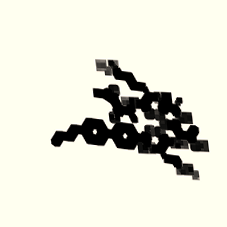 CCCCc1ccc(-c2ccc(C(=O)N[C@@H](CCN)C(=O)N[C@H](C(=O)N[C@@H](C)C(=O)N[C@@H](CCCCN)C(=O)N[C@@H](C)C(=O)C3OC3C)C(C)O)cc2)cc1